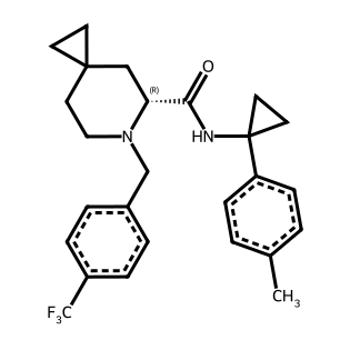 Cc1ccc(C2(NC(=O)[C@H]3CC4(CCN3Cc3ccc(C(F)(F)F)cc3)CC4)CC2)cc1